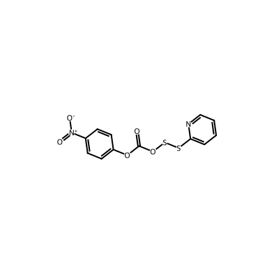 O=C(OSSc1ccccn1)Oc1ccc([N+](=O)[O-])cc1